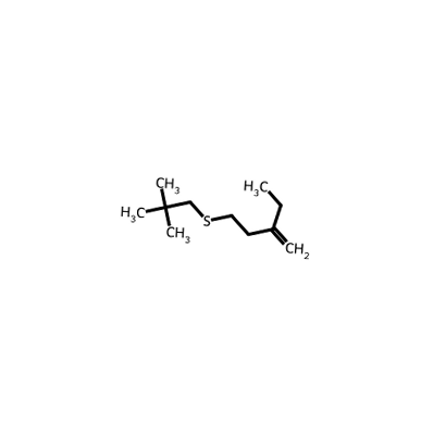 C=C(CC)CCSCC(C)(C)C